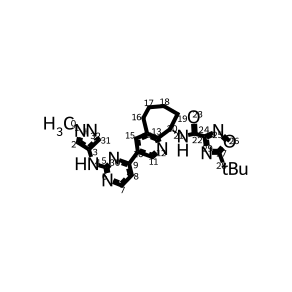 Cn1cc(Nc2nccc(-c3cnc4c(c3)CCCC[C@@H]4NC(=O)c3noc(C(C)(C)C)n3)n2)cn1